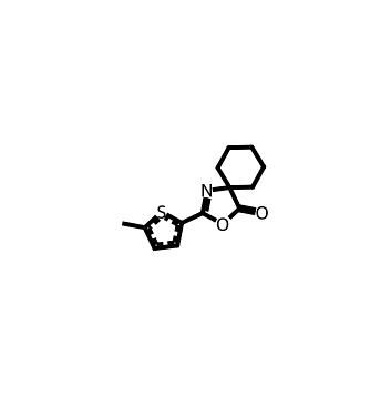 Cc1ccc(C2=NC3(CCCCC3)C(=O)O2)s1